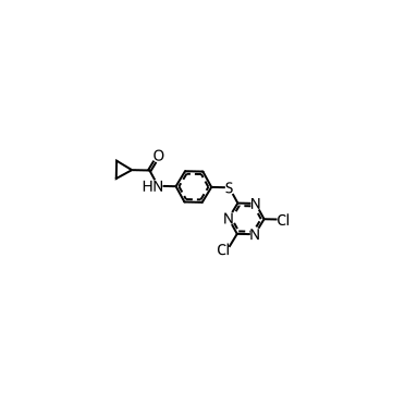 O=C(Nc1ccc(Sc2nc(Cl)nc(Cl)n2)cc1)C1CC1